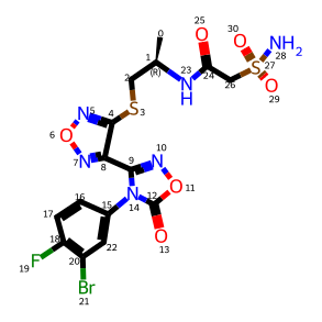 C[C@H](CSc1nonc1-c1noc(=O)n1-c1ccc(F)c(Br)c1)NC(=O)CS(N)(=O)=O